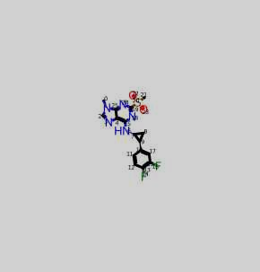 Cn1cnc2c(N[C@@H]3C[C@H]3c3ccc(F)c(F)c3)nc(S(C)(=O)=O)nc21